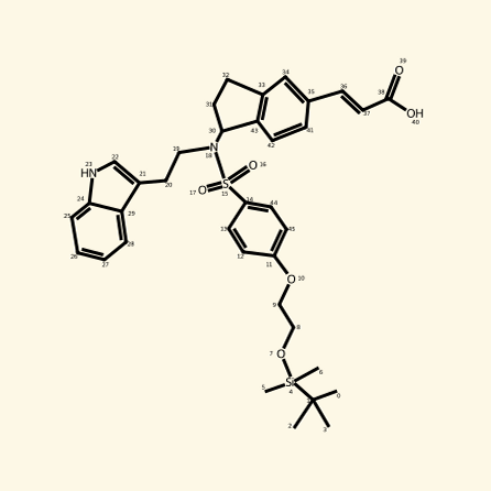 CC(C)(C)[Si](C)(C)OCCOc1ccc(S(=O)(=O)N(CCc2c[nH]c3ccccc23)C2CCc3cc(/C=C/C(=O)O)ccc32)cc1